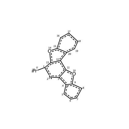 CC(C)c1nc2c3ccccc3oc2c2c1oc1ccccc12